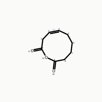 O=C1C/C=C\CCCCC(=O)O1